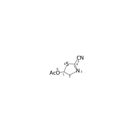 CC(=O)OC1CN=C(C#N)S1